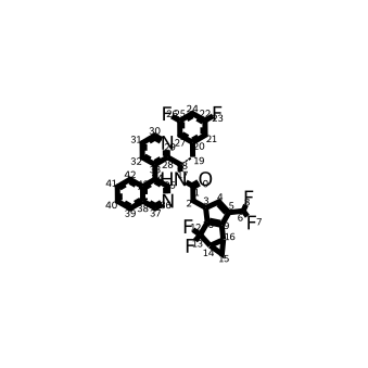 O=C(CC1C=C(C(F)F)C2=C1C(F)(F)C1CC21)N[C@@H](Cc1cc(F)cc(F)c1)c1ncccc1-c1cncc2ccccc12